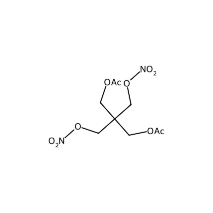 CC(=O)OCC(COC(C)=O)(CO[N+](=O)[O-])CO[N+](=O)[O-]